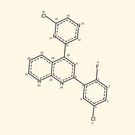 Fc1ccc(Cl)cc1-c1cc(-c2cncc(Cl)n2)c2cccnc2n1